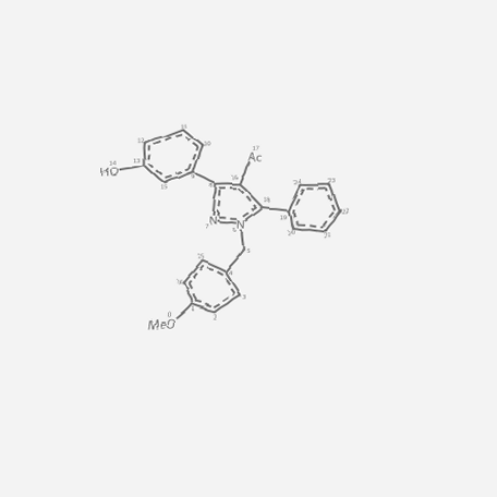 COc1ccc(Cn2nc(-c3cccc(O)c3)c(C(C)=O)c2-c2ccccc2)cc1